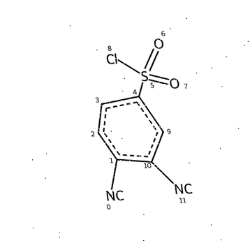 [C-]#[N+]c1ccc(S(=O)(=O)Cl)cc1[N+]#[C-]